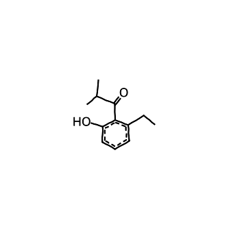 CCc1cccc(O)c1C(=O)C(C)C